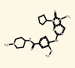 COc1cc(C(=O)NC2CCN(C)CC2)ccc1Nc1ncc2c(n1)n(C1CCCC1)c(=O)n2C